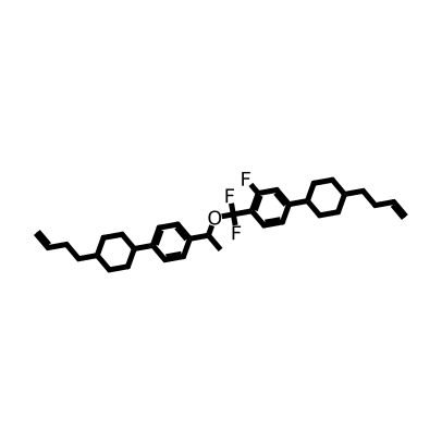 C=CCCC1CCC(c2ccc(C(C)OC(F)(F)c3ccc(C4CCC(CCC=C)CC4)cc3F)cc2)CC1